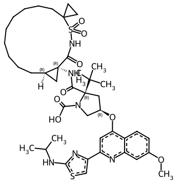 COc1ccc2c(O[C@H]3CN(C(=O)O)[C@@](C(=O)N[C@]45C[C@H]4CCCCCCCCCC4(CC4)S(=O)(=O)NC5=O)(C(C)(C)C)C3)cc(-c3csc(NC(C)C)n3)nc2c1